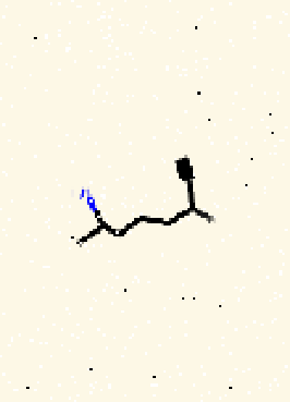 C#CC(CC)CCCC(C)N